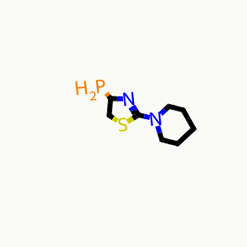 PC1CSC(N2CCCCC2)=N1